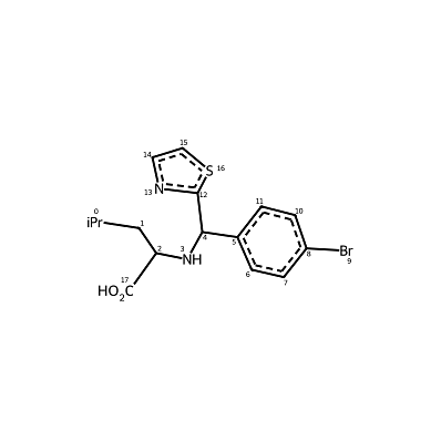 CC(C)CC(NC(c1ccc(Br)cc1)c1nccs1)C(=O)O